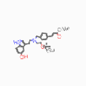 COC(=O)/C=C/c1ccc(CN(CCO[Si](C)(C)C(C)(C)C)CCc2c[nH]c3ccc(O)cc23)cc1